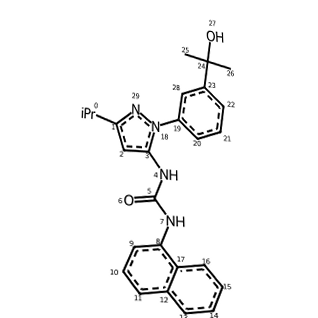 CC(C)c1cc(NC(=O)Nc2cccc3ccccc23)n(-c2cccc(C(C)(C)O)c2)n1